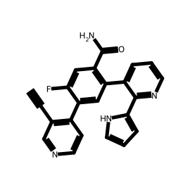 C#Cc1cnccc1-c1cc(-c2cccnc2-c2ccc[nH]2)c(C(N)=O)cc1F